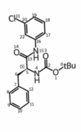 CC(C)(C)OC(=O)N[C@@H](Cc1ccccc1)C(=O)Nc1cccc(Cl)c1